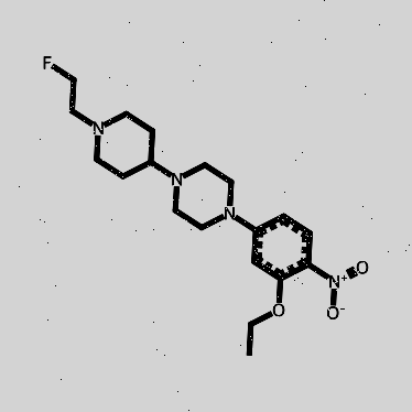 CCOc1cc(N2CCN(C3CCN(CCF)CC3)CC2)ccc1[N+](=O)[O-]